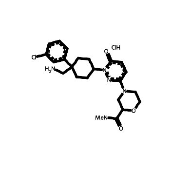 CNC(=O)C1CN(c2ccc(=O)n(C3CCC(CN)(c4cccc(Cl)c4)CC3)n2)CCO1.Cl